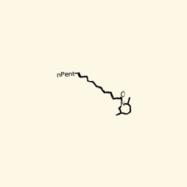 CCCCC/C=C/CCCCCCCCC(=O)N1CC(C)CCCC1C